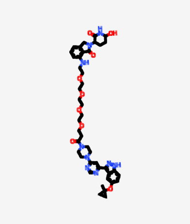 CC1(Oc2ccc3[nH]nc(-c4cc(N5CCN(C(=O)CCOCCOCCOCCOCCNc6cccc7c6C(=O)N(C6CCC(O)NC6=O)C7)CC5)ncn4)c3c2)CC1